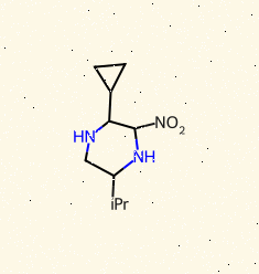 CC(C)C1CNC(C2CC2)C([N+](=O)[O-])N1